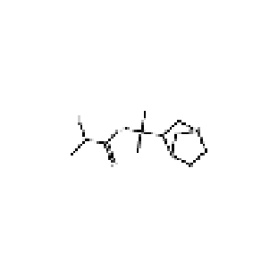 CC(I)C(=O)OC(C)(C)C1CN2CCC1C2